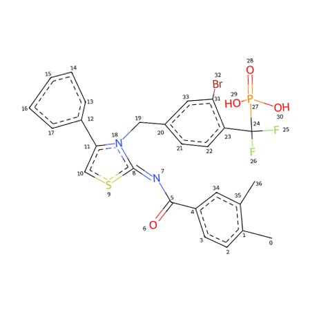 Cc1ccc(C(=O)/N=c2\scc(-c3ccccc3)n2Cc2ccc(C(F)(F)P(=O)(O)O)c(Br)c2)cc1C